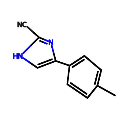 Cc1ccc(-c2c[nH]c(C#N)n2)cc1